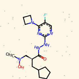 O=CN(O)C[C@H](CC1CCCC1)C(=O)NNc1ncc(F)c(N2CCC2)n1